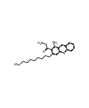 CCCCCCCCCCCCCCCCCCc1cc2nc3ccccc3cc2c(N)c1C(=O)CN